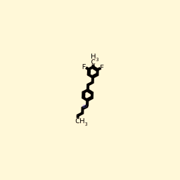 CCC/C=C/c1ccc(CCc2cc(F)c(C)c(F)c2)cc1